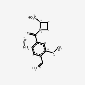 C=Cc1ccc(C(=O)N2CC[C@@H]2C(=O)O)cc1SC(F)(F)F.NO